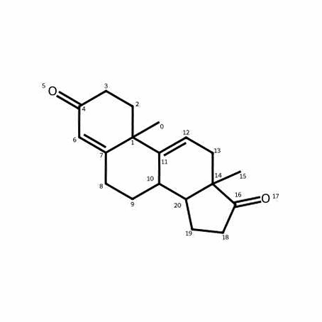 CC12CCC(=O)C=C1CCC1C2=CCC2(C)C(=O)CCC12